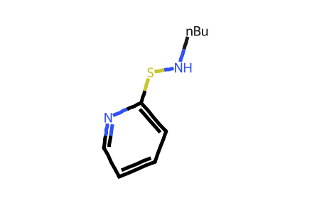 CCCCNSc1ccccn1